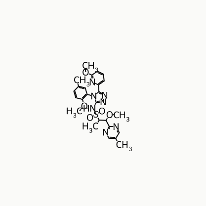 COc1cccc(-c2nnc(NS(=O)(=O)C(C)C(OC)c3ncc(C)cn3)n2-c2cc(C)ccc2OC)n1